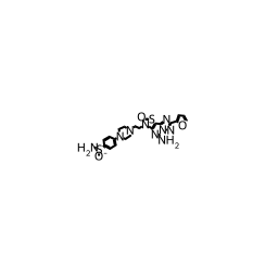 Nc1nc2c(sc(=O)n2CCN2CCN(c3ccc([S+](N)[O-])cc3)CC2)c2nc(-c3ccco3)nn12